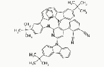 CC(C)(C)c1ccc2c(c1)c1ccccc1n2-c1cc(-c2cccc(C#N)c2C#N)c(-n2c3ccccc3c3cc(C(C)(C)C)ccc32)c(-n2c3ccccc3c3cc(C(C)(C)C)ccc32)n1